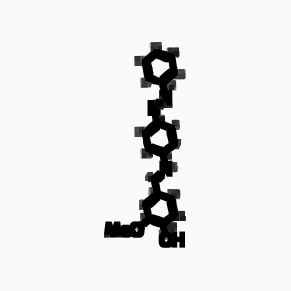 COc1cc(C=Nc2ccc(/N=N/c3ccccc3)cc2)ccc1O